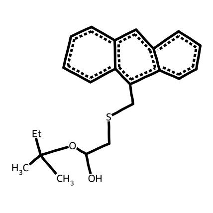 CCC(C)(C)OC(O)CSCc1c2ccccc2cc2ccccc12